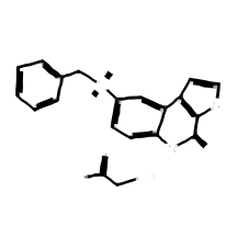 CCC(=O)O.O=c1[nH]c2ccc(S(=O)(=O)Cc3ccccc3)cc2c2cc[nH]c12